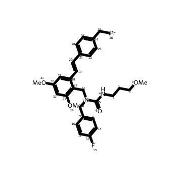 COCCCNC(=O)N(Cc1ccc(F)cc1)Cc1c(/C=C/c2ccc(CC(C)C)cc2)cc(OC)cc1OC